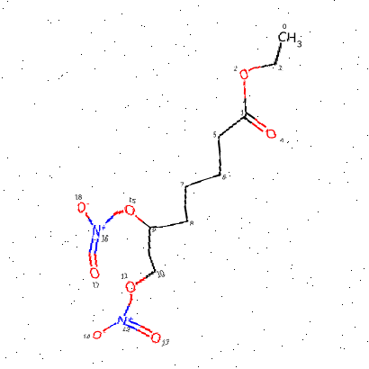 CCOC(=O)CCCCC(CO[N+](=O)[O-])O[N+](=O)[O-]